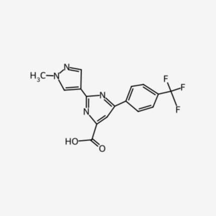 Cn1cc(-c2nc(C(=O)O)cc(-c3ccc(C(F)(F)F)cc3)n2)cn1